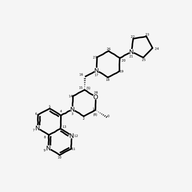 C[C@@H]1CN(c2ccnc3nccnc23)C[C@H](CN2CCC(N3CCCC3)CC2)O1